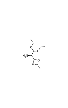 CCOC(OCC)C(N)C1OC(C)O1